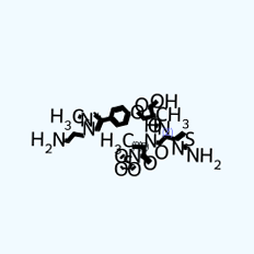 C[C@@H]1[C@H](NC(=O)/C(=N\OC(C)(COc2ccc(-c3cn(CCCN)[n+](C)c3)cc2)C(=O)O)c2csc(N)n2)C(=O)N1S(=O)(=O)[O-]